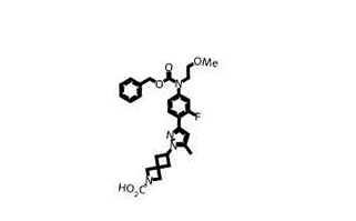 COCCN(C(=O)OCc1ccccc1)c1ccc(-c2cc(C)n(C3CC4(C3)CN(C(=O)O)C4)n2)c(F)c1